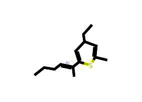 CCC/C=C(\C)C1=CC(CC)C=C(C)S1